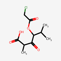 CC(C(=O)O)C(=O)C(OC(=O)CCl)C(C)C